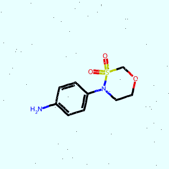 Nc1ccc(N2CCOCS2(=O)=O)cc1